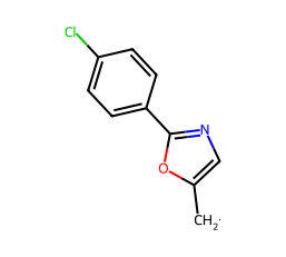 [CH2]c1cnc(-c2ccc(Cl)cc2)o1